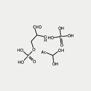 CC(=O)C(O)O.O=CC(O)COP(=O)(O)O.O=P(O)(O)O